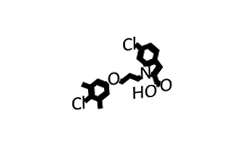 Cc1cc(OCCCn2c(C(=O)O)cc3ccc(Cl)cc32)cc(C)c1Cl